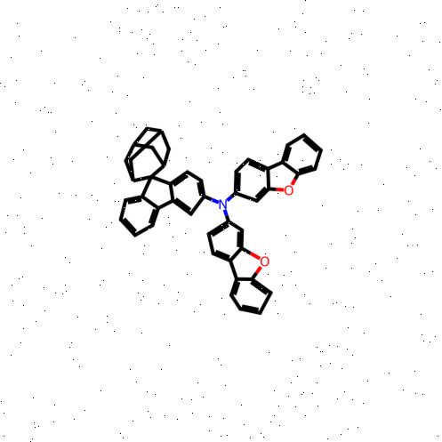 c1ccc2c(c1)-c1cc(N(c3ccc4c(c3)oc3ccccc34)c3ccc4c(c3)oc3ccccc34)ccc1C21C2CC3CC(C2)CC1C3